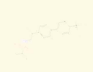 CC(CNS(=O)(=O)C(C)C)c1ccc(-c2ccc(C(F)(F)F)cc2)cc1